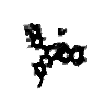 Cc1ccc(CC(C(=O)c2ccc3c(c2)OCCO3)=C(C(=O)[O-])c2ccc3nsnc3c2)cc1.[Na+]